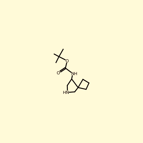 CC(C)(C)OC(=O)NC1CNCC12CCC2